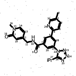 Cc1ccc(-c2cc(C(=O)NCc3ccn(C)c(=O)c3)cc(-n3nnnc3C(C)C)c2)nc1